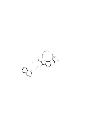 Cc1c2c(nn1C)COCCCCn1c(C(=O)O)c(CCCOc3cccc4ccccc34)c3cccc-2c31